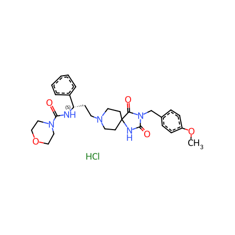 COc1ccc(CN2C(=O)NC3(CCN(CC[C@H](NC(=O)N4CCOCC4)c4ccccc4)CC3)C2=O)cc1.Cl